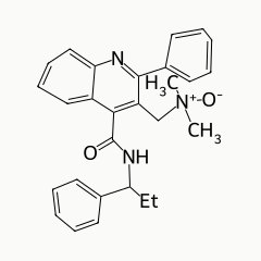 CCC(NC(=O)c1c(C[N+](C)(C)[O-])c(-c2ccccc2)nc2ccccc12)c1ccccc1